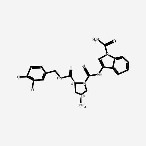 NC(=O)n1cc(NC(=O)N2C[C@@H](N)C[C@H]2C(=O)NCc2ccc(Cl)c(Cl)c2)c2ccccc21